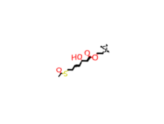 CC(=O)SCC/C=C/[C@@H](O)CC(=O)OCC[Si](C)(C)C